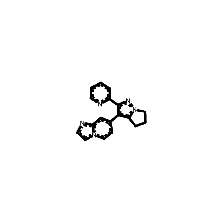 c1ccc(-c2nn3c(c2-c2ccn4ccnc4c2)CCC3)nc1